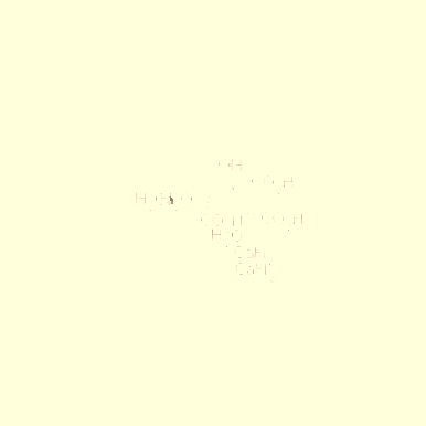 O.O.O=C(O)CC(O)(CC(=O)O)C(=O)O.[CaH2].[CaH2].[CaH2]